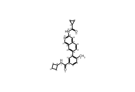 Cc1ccc(C(=O)NC2CCC2)cc1-c1ccc2cc(NC(=O)C3CC3)ncc2c1